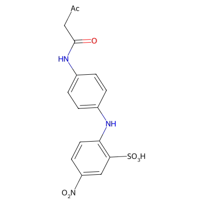 CC(=O)CC(=O)Nc1ccc(Nc2ccc([N+](=O)[O-])cc2S(=O)(=O)O)cc1